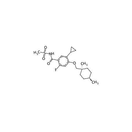 CS(=O)(=O)NC(=O)c1cc(C2CC2)c(OC[C@]2(C)CC[C@H](C)CC2)cc1F